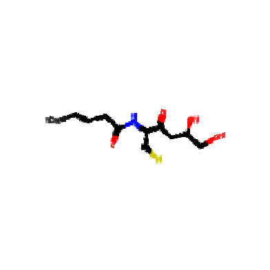 CCCCCCCCCCCCCC(=O)N[C@H](CS)C(=O)[CH][C@@H](O)CO